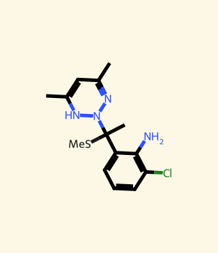 CSC(C)(c1cccc(Cl)c1N)N1N=C(C)C=C(C)N1